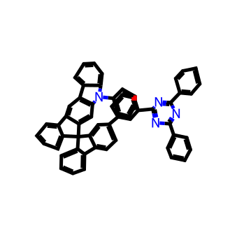 c1ccc(-c2nc(-c3ccccc3)nc(-c3cccc(-c4ccc5c(c4)C4(c6ccccc6-5)c5ccccc5-c5cc6c7ccccc7n(-c7ccccc7)c6cc54)c3)n2)cc1